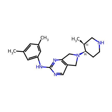 Cc1cc(C)cc(Nc2ncc3c(n2)CN([C@@H]2CCNC[C@@H]2C)C3)c1